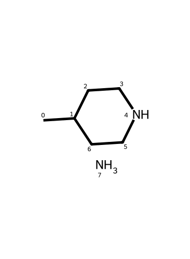 CC1CCNCC1.N